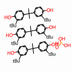 CC(C)(C)c1cc(C(C)(C)c2ccc(O)c(C(C)(C)C)c2)ccc1O.CC(C)(C)c1cc(C(C)(C)c2ccc(O)c(C(C)(C)C)c2)ccc1O.CC(C)(C)c1cc(C(C)(C)c2ccc(O)c(C(C)(C)C)c2)ccc1O.OP(O)O